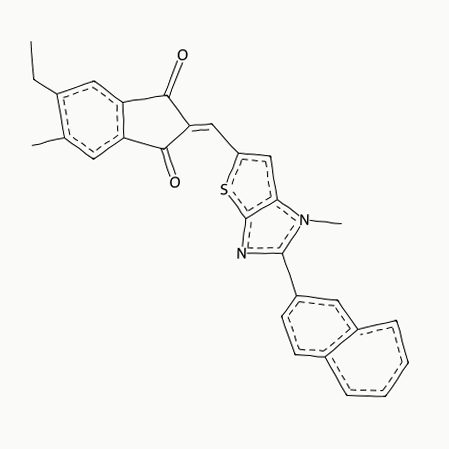 CCc1cc2c(cc1C)C(=O)/C(=C\c1cc3c(nc(-c4ccc5ccccc5c4)n3C)s1)C2=O